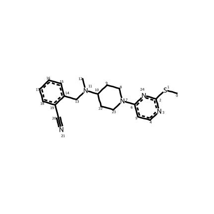 CSc1nccc(N2CCC(N(C)Cc3ccccc3C#N)CC2)n1